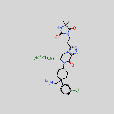 CC1(C)NC(=O)N(CCc2nnc3n2CCN(C2CCC(CN)(c4cccc(Cl)c4)CC2)C3=O)C1=O.Cl.Cl.Cl